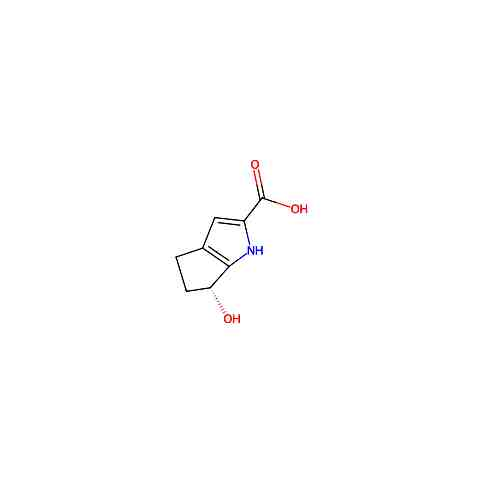 O=C(O)c1cc2c([nH]1)[C@H](O)CC2